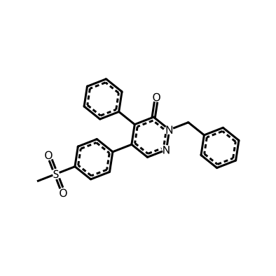 CS(=O)(=O)c1ccc(-c2cnn(Cc3ccccc3)c(=O)c2-c2ccccc2)cc1